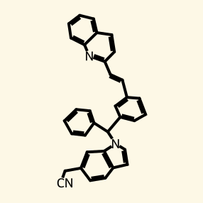 N#CCc1ccc2ccn(C(c3ccccc3)c3cccc(/C=C/c4ccc5ccccc5n4)c3)c2c1